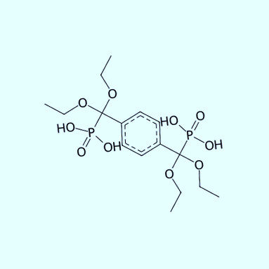 CCOC(OCC)(c1ccc(C(OCC)(OCC)P(=O)(O)O)cc1)P(=O)(O)O